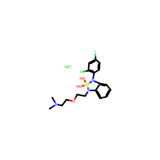 CN(C)CCOCCN1c2ccccc2N(c2ccc(F)cc2Cl)S1(O)O.Cl